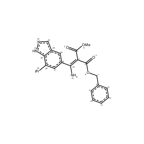 COC(=O)C(C(=O)OCc1ccccc1)=C(N)c1cc(C(C)C)c2[nH]ncc2c1